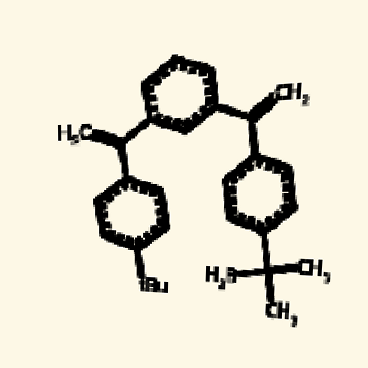 BC(C)(C)c1ccc(C(=C)c2cccc(C(=C)c3ccc(C(C)(C)C)cc3)c2)cc1